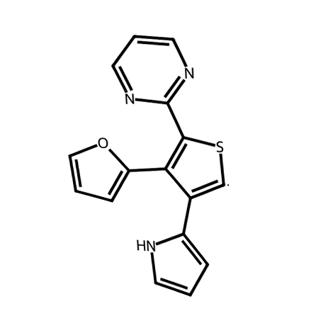 [c]1sc(-c2ncccn2)c(-c2ccco2)c1-c1ccc[nH]1